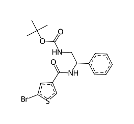 CC(C)(C)OC(=O)NCC(NC(=O)c1csc(Br)c1)c1ccccc1